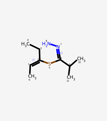 C/C=C(/CC)S/C(=N\N)C(C)C